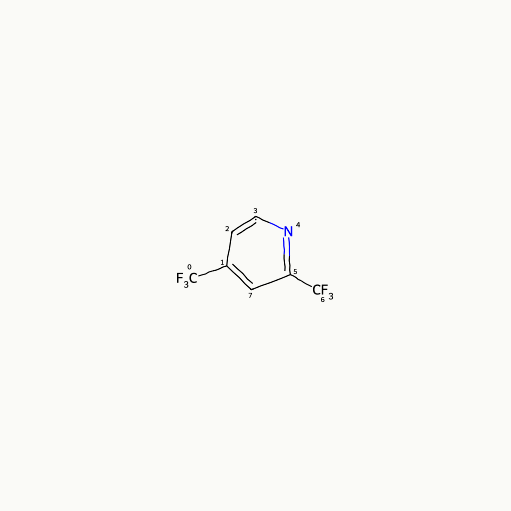 FC(F)(F)c1c[c]nc(C(F)(F)F)c1